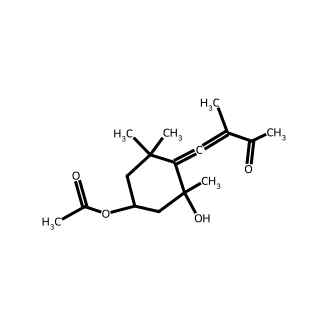 CC(=O)OC1CC(C)(C)C(=C=C(C)C(C)=O)C(C)(O)C1